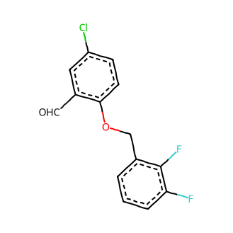 O=Cc1cc(Cl)ccc1OCc1cccc(F)c1F